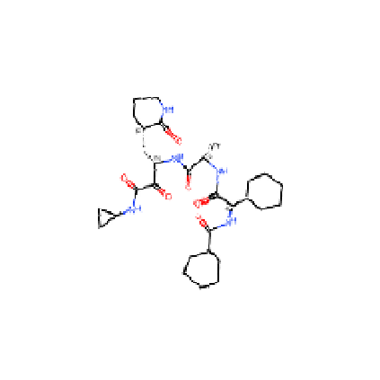 CCC[C@H](NC(=O)[C@H](NC(=O)C1CCCCC1)C1CCCCC1)C(=O)N[C@@H](C[C@@H]1CCCNC1=O)C(=O)C(=O)NC1CC1